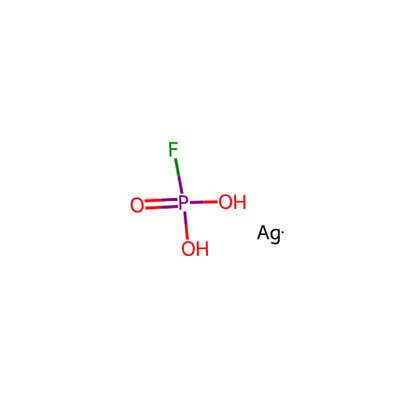 O=P(O)(O)F.[Ag]